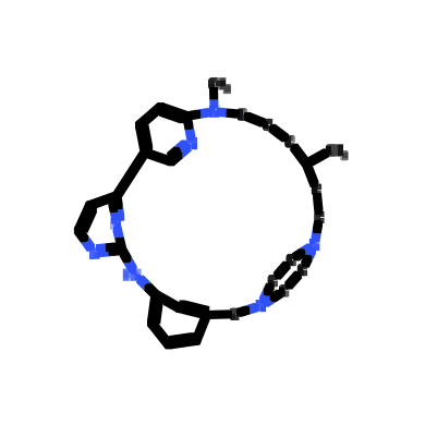 CC1CCCN(C)c2ccc(cn2)-c2ccnc(n2)Nc2cccc(c2)CN2CCN(CC1)CC2